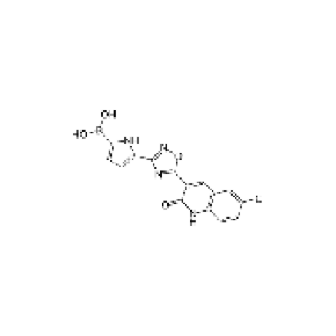 O=c1[nH]c2ccc(Cl)cc2cc1-c1nc(-c2ccc(B(O)O)[nH]2)no1